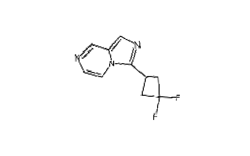 FC1(F)CC(c2ncc3cnccn23)C1